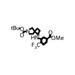 COC(=O)c1ccc(C(F)(F)F)c(N[C@H]2CCC23CCN(C(=O)OC(C)(C)C)CC3)c1